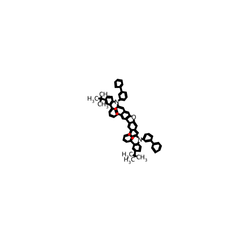 CC(C)(C)c1ccc(N(c2cccc(-c3ccccc3)c2)c2ccc3cc4c(cc3c2)oc2cc3cc(N(c5cccc(-c6ccccc6)c5)c5ccc(C(C)(C)C)cc5-c5ccccc5)ccc3cc24)c(-c2ccccc2)c1